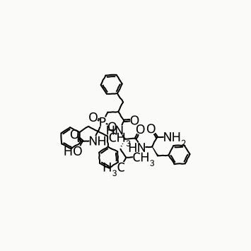 COP(=O)(CC(Cc1ccccc1)C(=O)N[C@@H](CC(C)C)C(=O)N[C@H](Cc1ccccc1)C(N)=O)C(Cc1ccccc1)(Cc1ccccc1)NC(=O)O